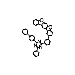 c1ccc(-c2ccc(-c3nc(-c4ccccc4)nc(-c4cccc(-c5ccc6oc7cc8oc9ccccc9c8cc7c6c5)c4)n3)cc2)cc1